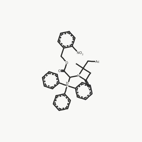 CC(=O)CC1(C)CC(=O)N1C(C(=O)OCc1ccccc1[N+](=O)[O-])[PH](c1ccccc1)(c1ccccc1)c1ccccc1